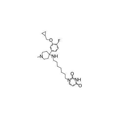 CN1CCC(NCCCCCCCn2ccc(=O)[nH]c2=O)(c2ccc(F)c(OCC3CC3)c2)CC1